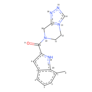 Cc1cccc2cc(C(=O)N3CCn4cnnc4C3)[nH]c12